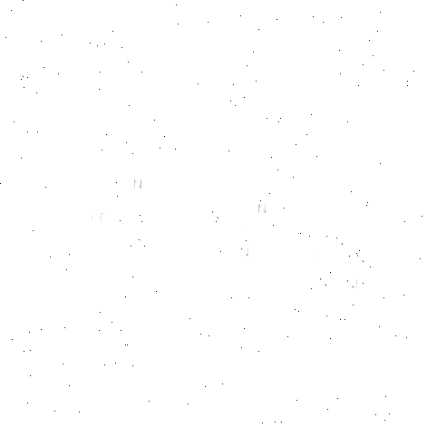 FC(F)(F)c1ccccc1N1CC2CN(c3ncc(-c4nn[nH]n4)cn3)CC2C1